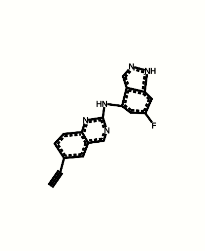 C#Cc1ccc2nc(Nc3cc(F)cc4[nH]ncc34)ncc2c1